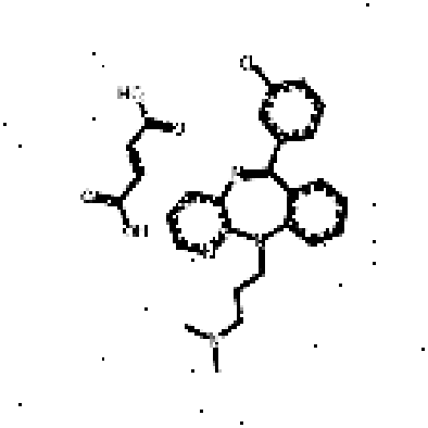 CN(C)CCCN1c2ccccc2C(c2cccc(Cl)c2)=Nc2cccnc21.O=C(O)C=CC(=O)O